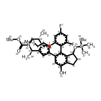 COCCOc1cc(F)cc(F)c1-c1c(-c2cc3n(n2)[C@@H](C)CN(C(=O)OC(C)(C)C)[C@@H]3C)cc(O)c2c1C(O[Si](C)(C)C(C)(C)C)CC2